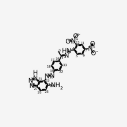 C/C(=N\Nc1ccc([N+](=O)[O-])cc1[N+](=O)[O-])c1ccc(/N=N/c2c(N)ccc3nn[nH]c23)cc1